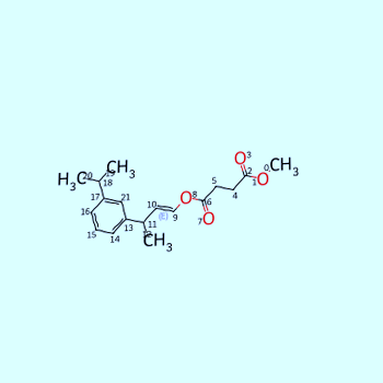 COC(=O)CCC(=O)O/C=C/C(C)c1cccc(C(C)C)c1